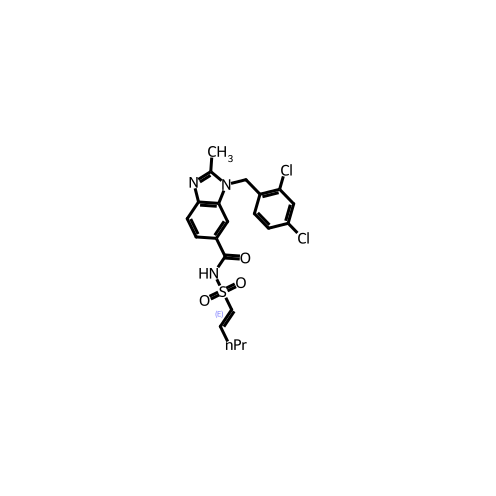 CCC/C=C/S(=O)(=O)NC(=O)c1ccc2nc(C)n(Cc3ccc(Cl)cc3Cl)c2c1